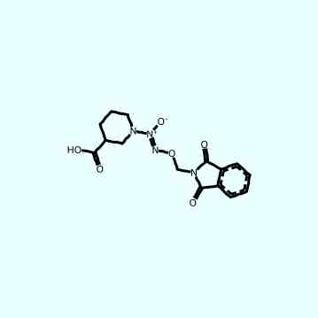 O=C(O)C1CCCN([N+]([O-])=NOCN2C(=O)c3ccccc3C2=O)C1